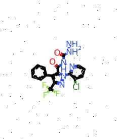 NNC(=O)NC(=O)c1c(-c2ccccc2)c(C(F)(F)F)nn1-c1ncccc1Cl